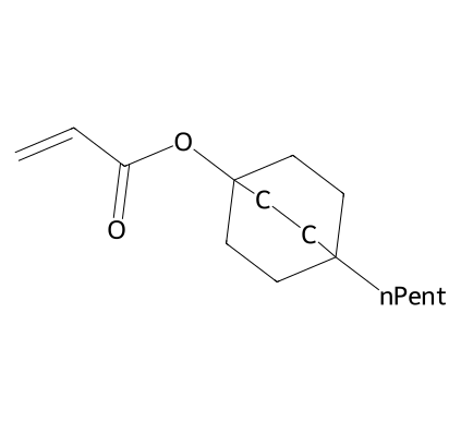 C=CC(=O)OC12CCC(CCCCC)(CC1)CC2